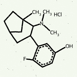 CN(C)C1C(c2cc(O)ccc2F)CC2CCC1(C)C2.Cl